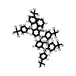 CC(C)(C)c1ccc(N2c3ccc(C(C)(C)C)cc3B3c4cc(C(C)(C)C)ccc4N(c4ccc(N(c5ccc(C(C)(C)C)cc5)c5ccc(C(C)(C)C)cc5)c5c4sc4ccccc45)c4cccc2c43)cc1